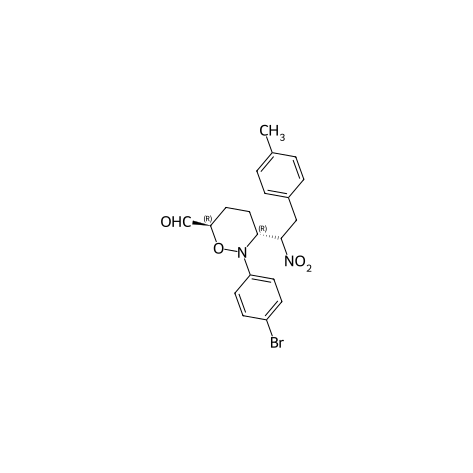 Cc1ccc(CC([C@H]2CC[C@H](C=O)ON2c2ccc(Br)cc2)[N+](=O)[O-])cc1